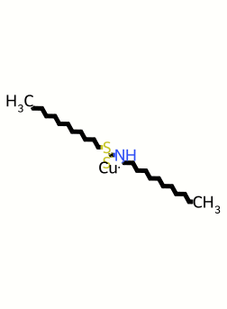 CCCCCCCCCCCCNC(=S)SCCCCCCCCCCCC.[Cu]